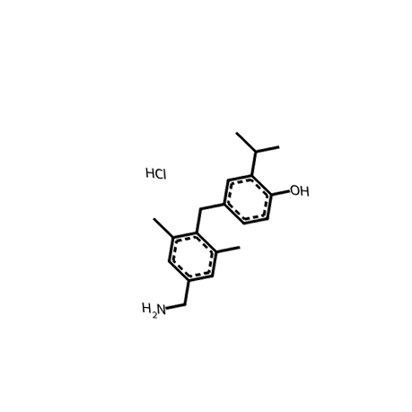 Cc1cc(CN)cc(C)c1Cc1ccc(O)c(C(C)C)c1.Cl